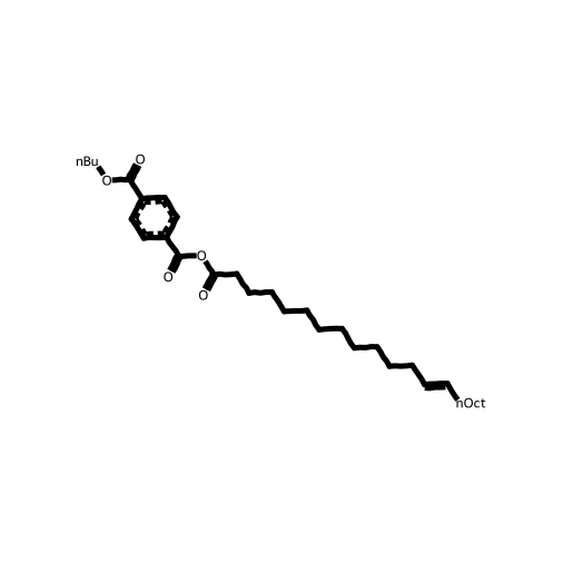 CCCCCCCCC=CCCCCCCCCCCCC(=O)OC(=O)c1ccc(C(=O)OCCCC)cc1